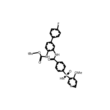 COc1ccncc1S(=N)(=O)c1ccc(C(=O)Nc2cc(-c3ccc(F)cc3)ccc2NC(=O)OC(C)(C)C)cc1